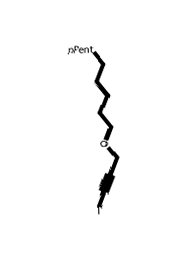 CCCCCCCCCCOCC#CI